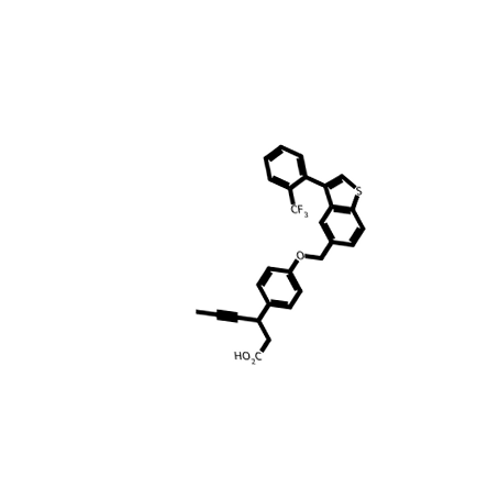 CC#CC(CC(=O)O)c1ccc(OCc2ccc3scc(-c4ccccc4C(F)(F)F)c3c2)cc1